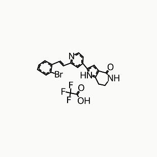 O=C(O)C(F)(F)F.O=C1NCCc2[nH]c(-c3ccnc(C=Cc4ccccc4Br)c3)cc21